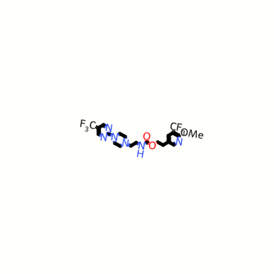 COc1ncc(CCOC(=O)NCCN2CCN(c3ncc(C(F)(F)F)cn3)CC2)cc1C(F)(F)F